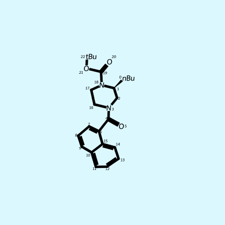 CCCC[C@H]1CN(C(=O)c2cccc3ccccc23)CCN1C(=O)OC(C)(C)C